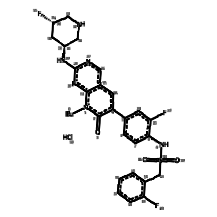 CCC(C)n1c(=O)c(-c2ccc(NS(=O)(=O)Cc3ccccc3F)c(F)c2)cc2cnc(N[C@@H]3CNC[C@@H](F)C3)nc21.Cl